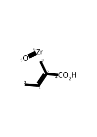 CC=C(C)C(=O)O.[O]=[Zr]